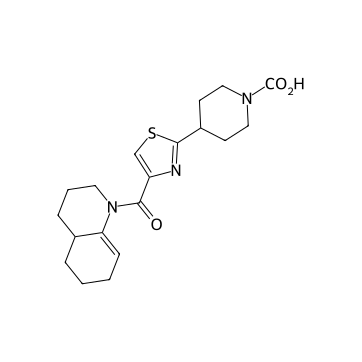 O=C(O)N1CCC(c2nc(C(=O)N3CCCC4CCCC=C43)cs2)CC1